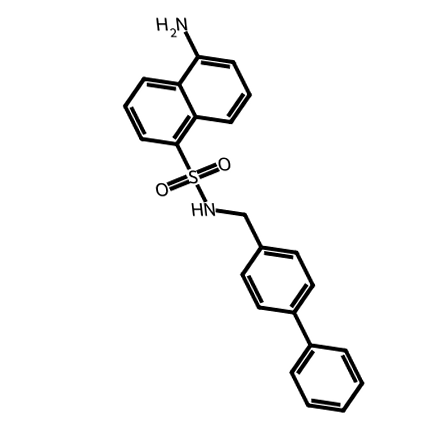 Nc1cccc2c(S(=O)(=O)NCc3ccc(-c4ccccc4)cc3)cccc12